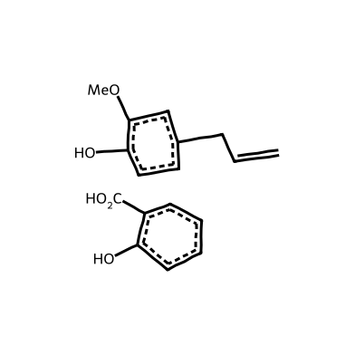 C=CCc1ccc(O)c(OC)c1.O=C(O)c1ccccc1O